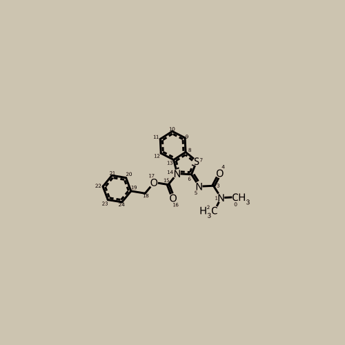 CN(C)C(=O)N=c1sc2ccccc2n1C(=O)OCc1ccccc1